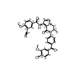 COc1cc(C(=O)c2ccc(N3C(=O)c4c(NC(=O)c5ccc(OC)c(C#N)c5)cnn4CC3C)cc2)ccc1Cl